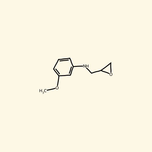 COc1cccc(NCC2CO2)c1